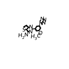 COc1cc(-c2nc(N)c3sccc3n2)cc(-n2cnnn2)c1